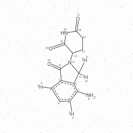 [2H]c1cc([2H])c2c(c1N)C([2H])([2H])N(C1CCC(=O)NC1=O)C2=O